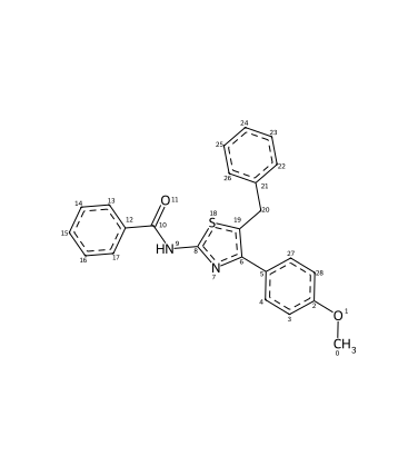 COc1ccc(-c2nc(NC(=O)c3ccccc3)sc2Cc2ccccc2)cc1